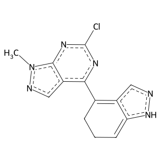 Cn1ncc2c(C3=c4cn[nH]c4=CCC3)nc(Cl)nc21